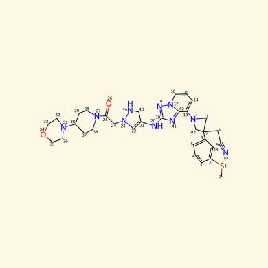 CSc1cccc(C2(CC#N)CN(c3cccn4nc(NC5=CN(CC(=O)N6CCC(N7CCOCC7)CC6)NC5)nc34)C2)c1